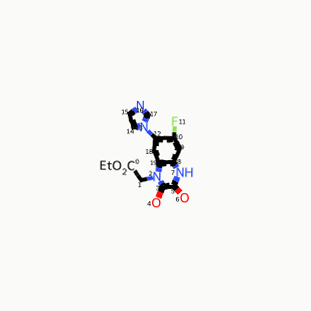 CCOC(=O)Cn1c(=O)c(=O)[nH]c2cc(F)c(-n3ccnc3)cc21